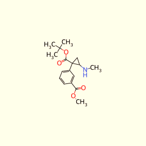 CNC1CC1(C(=O)OC(C)(C)C)c1cccc(C(=O)OC)c1